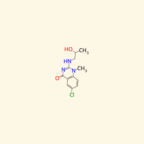 CC(O)CNc1nc(=O)c2cc(Cl)ccc2n1C